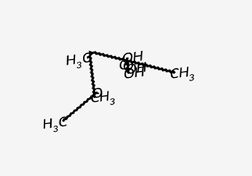 CCCCCCCCCCCCCCCCCCCCCCCCC(C(=O)OCC(O)CO)C(O)CCCCCCCCCCCCCCCCC1CC1C(C)CCCCCCCCCCCCCCCCCCC(=O)C(C)CCCCCCCCCCCCCCCCCC